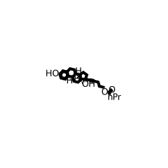 CCCC(=O)OCCCC#C[C@]1(O)CC[C@H]2[C@@H]3CCc4cc(O)ccc4[C@H]3CC[C@@]21C